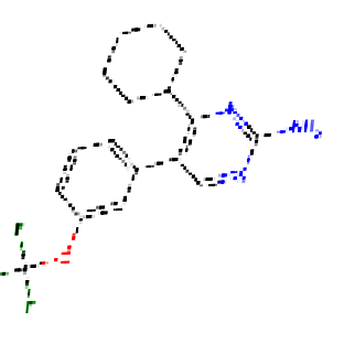 Nc1ncc(-c2cccc(OC(F)(F)F)c2)c(C2CCCCC2)n1